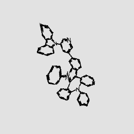 c1ccc(N2c3ccccc3-c3c(n(-c4ccccc4)c4cc(-c5cncc(-n6c7ccccc7c7ccccc76)c5)ccc34)-c3ccccc32)cc1